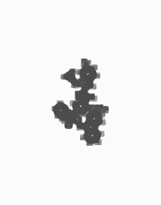 COc1cc(C(=O)N2CC3CCC2[C@@H]3NC(=O)OCC2c3ccccc3-c3ccccc32)cn2nc(-c3cc4ccc(Br)cc4n3CC3CC3)c(C)c12